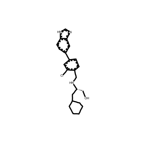 OC[C@H](CC1CCCCC1)NCc1ccc(-c2ccc3[nH]cnc3c2)cc1Cl